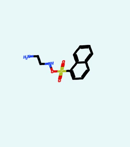 NCCNOS(=O)(=O)c1cccc2ccccc12